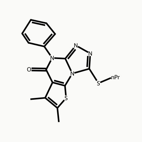 CCCSc1nnc2n(-c3ccccc3)c(=O)c3c(C)c(C)sc3n12